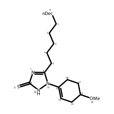 CCCCCCCCCCCCCCCc1nc(=S)[nH]n1C1=CCC(OC)CC1